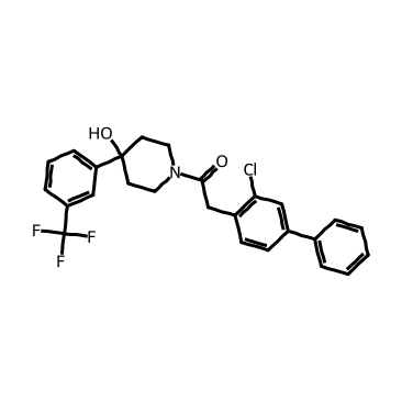 O=C(Cc1ccc(-c2ccccc2)cc1Cl)N1CCC(O)(c2cccc(C(F)(F)F)c2)CC1